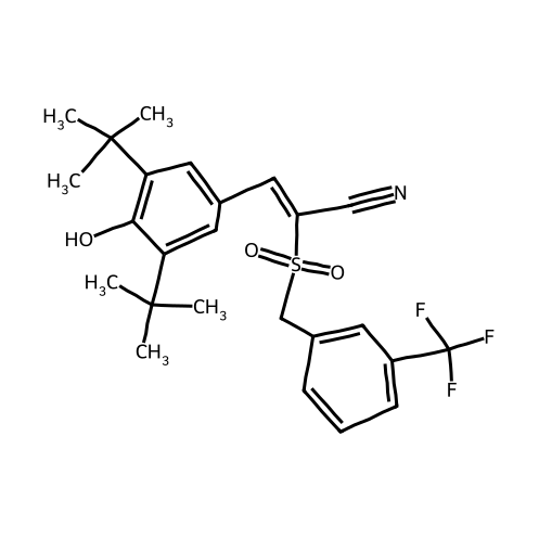 CC(C)(C)c1cc(C=C(C#N)S(=O)(=O)Cc2cccc(C(F)(F)F)c2)cc(C(C)(C)C)c1O